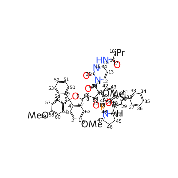 COc1ccc(C(OC[C@H]2O[C@@H](n3ccc(NC(=O)C(C)C)nc3=O)C(OC)[C@H]2O[P@]2O[C@@H](C[Si](C)(c3ccccc3)c3ccccc3)[C@H]3CCCN32)(c2ccccc2)c2ccc(OC)cc2)cc1